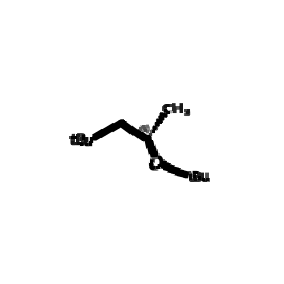 C[C@@H](CC(C)(C)C)OC(C)(C)C